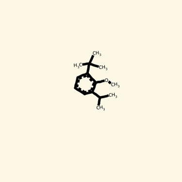 COc1c(C(C)C)cccc1C(C)(C)C